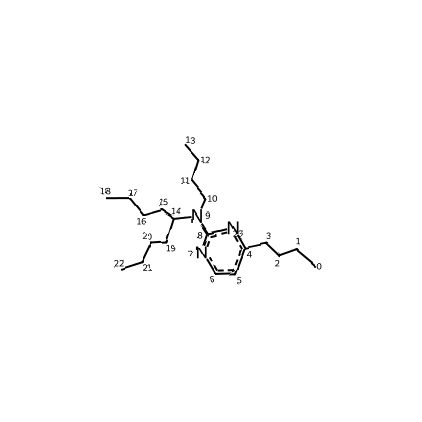 CCCCc1ccnc(N(CCCC)C(CCCC)CCCC)n1